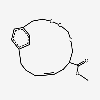 COC(=O)C1C/C=C\CCCc2ccc(cc2)CCCCCCC1